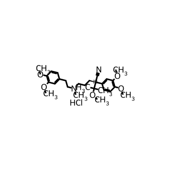 COc1ccc(CCN(C)CCC[C@@](C#N)(c2ccc(OC)c(OC)c2)C(C)(C)OC)cc1OC.Cl